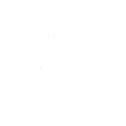 C=C(CCl)CC1(C(=O)OC)NC[C@H]2C[C@H]21